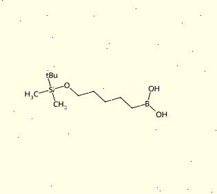 CC(C)(C)[Si](C)(C)OCCCCCB(O)O